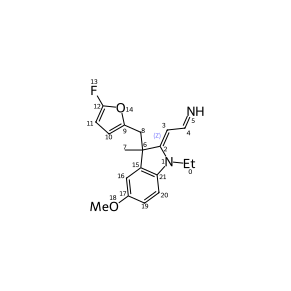 CCN1/C(=C\C=N)C(C)(Cc2ccc(F)o2)c2cc(OC)ccc21